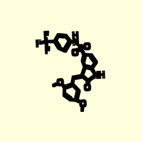 COc1ccc(OC)c(C=C2C(=O)Nc3ccc(S(=O)(=O)Nc4ccc(C(F)(F)F)cc4)cc32)c1